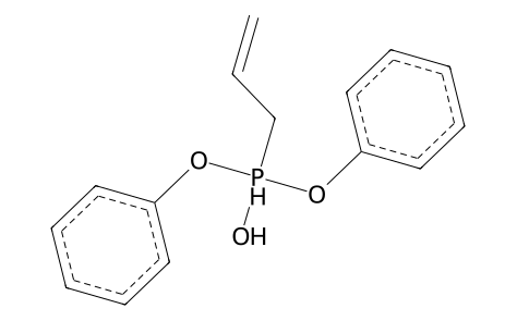 C=CC[PH](O)(Oc1ccccc1)Oc1ccccc1